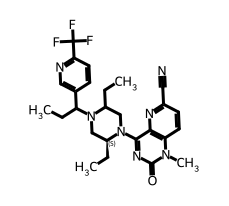 CCC1CN(c2nc(=O)n(C)c3ccc(C#N)nc23)[C@@H](CC)CN1C(CC)c1ccc(C(F)(F)F)nc1